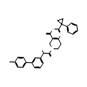 Cc1ccc(-c2cccc(C(O)C(=O)N3CCc4nc(C5(c6ccccc6)CC5)[nH]c(=O)c4C3)c2)cc1